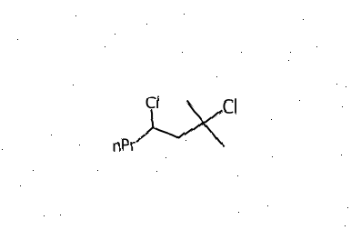 CCCC(Cl)CC(C)(C)Cl